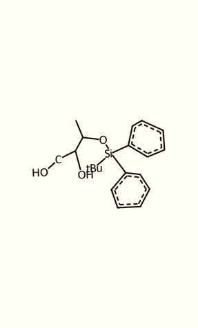 CC(O[Si](c1ccccc1)(c1ccccc1)C(C)(C)C)C(O)CO